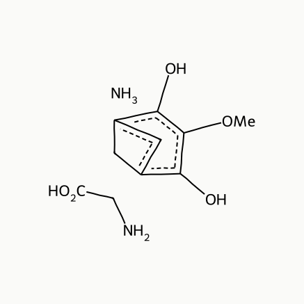 COc1c(O)c2cc(c1O)C2.N.NCC(=O)O